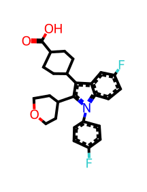 O=C(O)C1CCC(c2c(C3CCOCC3)n(-c3ccc(F)cc3)c3ccc(F)cc23)CC1